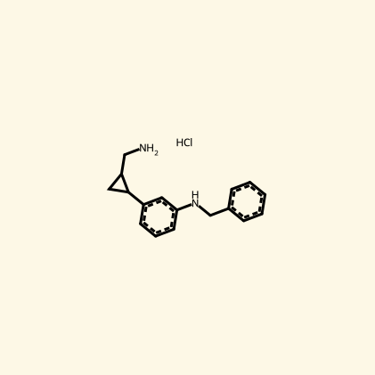 Cl.NCC1CC1c1cccc(NCc2ccccc2)c1